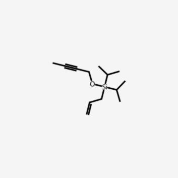 C=CC[Si](OCC#CC)(C(C)C)C(C)C